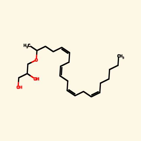 CCCCC/C=C\C/C=C\C/C=C\C/C=C\CCC(C)OCC(O)CO